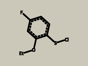 CCOc1cc(F)ccc1SCl